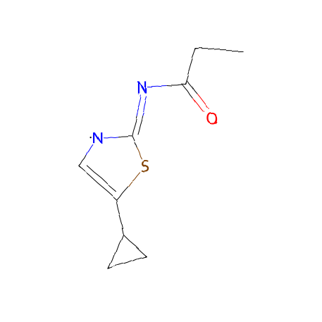 CCC(=O)N=C1[N]C=C(C2CC2)S1